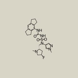 CN1C[C@H](F)C[C@H]1CN(c1cnn(C)c1)S(=O)(=O)NC(=O)Nc1c2c(cc3c1CCC3)CCC2